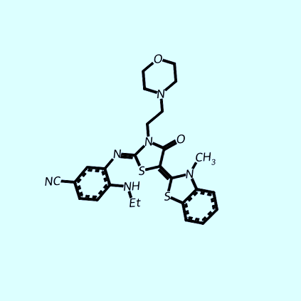 CCNc1ccc(C#N)cc1/N=C1\S/C(=C2\Sc3ccccc3N2C)C(=O)N1CCN1CCOCC1